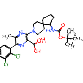 Cc1nc(N2CCC3(CCC[C@H]3NC(=O)OC(C)(C)C)CC2)c(C(O)O)nc1-c1cccc(Cl)c1Cl